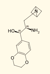 N[C@H](CN1CC2CC1C2)[C@H](O)c1ccc2c(c1)OCCO2